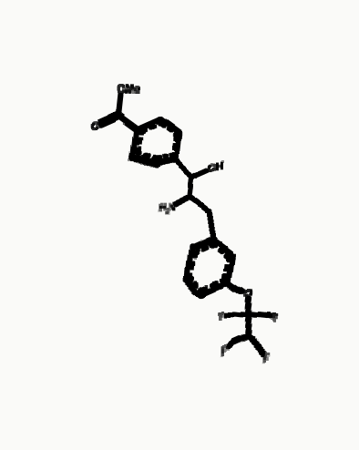 COC(=O)c1ccc(C(O)C(N)Cc2cccc(OC(F)(F)C(F)F)c2)cc1